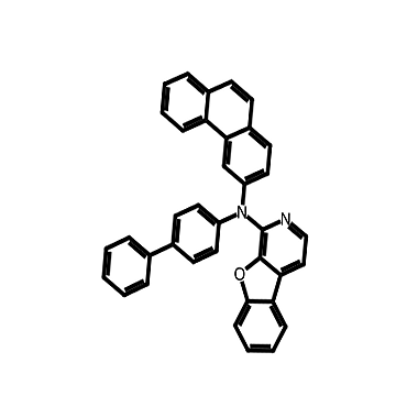 c1ccc(-c2ccc(N(c3ccc4ccc5ccccc5c4c3)c3nccc4c3oc3ccccc34)cc2)cc1